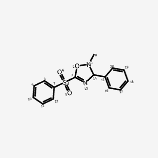 CN1OC(S(=O)(=O)c2ccccc2)=NC1c1ccccc1